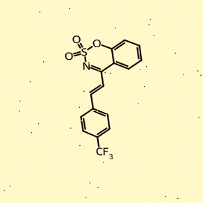 O=S1(=O)N=C(/C=C/c2ccc(C(F)(F)F)cc2)c2ccccc2O1